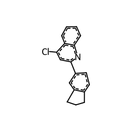 Clc1cc(-c2ccc3c(c2)CCC3)nc2ccccc12